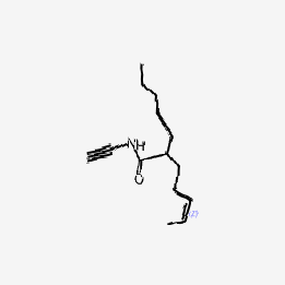 C#CNC(=O)C(CC/C=C\C)CCCCC